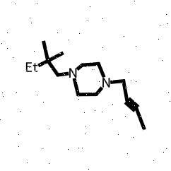 [CH2]CC(C)(C)CN1CCN(CC#CC)CC1